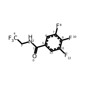 O=C(NCC(F)(F)F)c1cc(F)c(F)c(F)c1